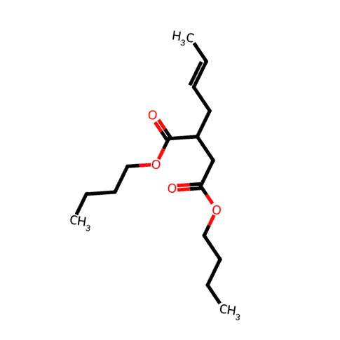 CC=CCC(CC(=O)OCCCC)C(=O)OCCCC